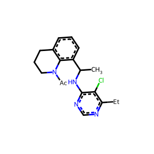 CCc1ncnc(NC(C)c2cccc3c2N(C(C)=O)CCC3)c1Cl